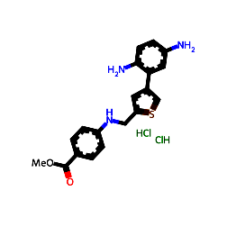 COC(=O)c1ccc(NCc2cc(-c3cc(N)ccc3N)cs2)cc1.Cl.Cl